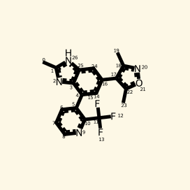 Cc1nc2c(-c3cccnc3C(F)(F)F)cc(-c3c(C)noc3C)cc2[nH]1